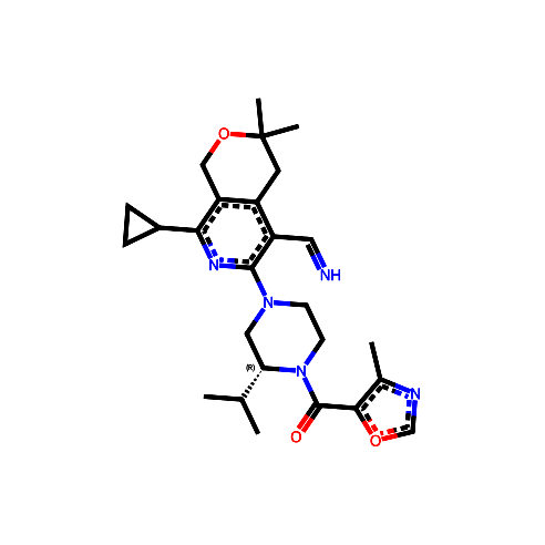 Cc1ncoc1C(=O)N1CCN(c2nc(C3CC3)c3c(c2C=N)CC(C)(C)OC3)C[C@H]1C(C)C